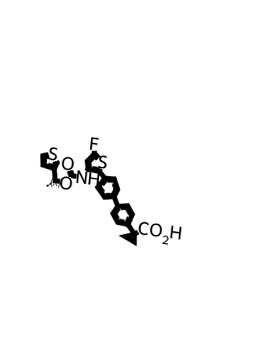 C[C@@H](OC(=O)Nc1cc(F)sc1-c1ccc(-c2ccc(C3(C(=O)O)CC3)cc2)cc1)c1ccsc1